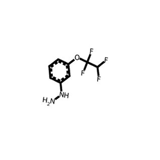 NNc1cccc(OC(F)(F)C(F)F)c1